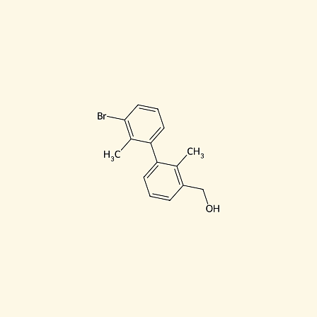 Cc1c(Br)cccc1-c1cccc(CO)c1C